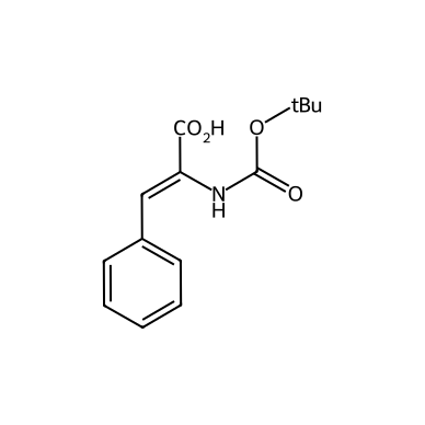 CC(C)(C)OC(=O)NC(=Cc1ccccc1)C(=O)O